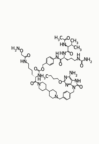 CCCCOc1nc(N)c2[nH]c(=O)n(Cc3ccc(CN4CCC(C5CCN(C(=O)[C@H](CCCCNC(=O)CON)NC(=O)OCc6ccc(NC(=O)[C@H](CCCNC(N)=O)NC(=O)[C@@H](NC(C)=O)C(C)C)cc6)CC5)CC4)cc3)c2n1